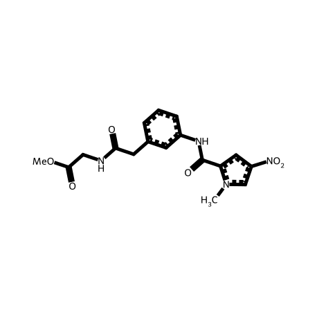 COC(=O)CNC(=O)Cc1cccc(NC(=O)c2cc([N+](=O)[O-])cn2C)c1